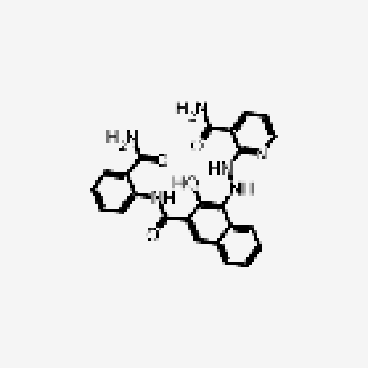 NC(=O)c1ccccc1NC(=O)c1cc2ccccc2c(NNc2ncccc2C(N)=O)c1O